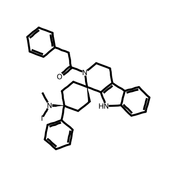 CN(I)[C@]1(c2ccccc2)CC[C@]2(CC1)c1[nH]c3ccccc3c1CCN2C(=O)Cc1ccccc1